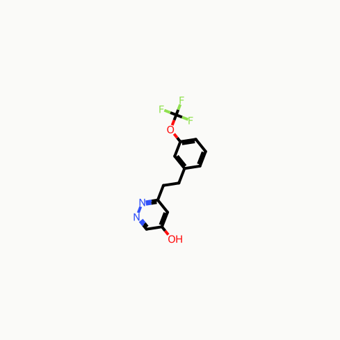 Oc1cnnc(CCc2cccc(OC(F)(F)F)c2)c1